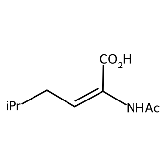 CC(=O)NC(=CCC(C)C)C(=O)O